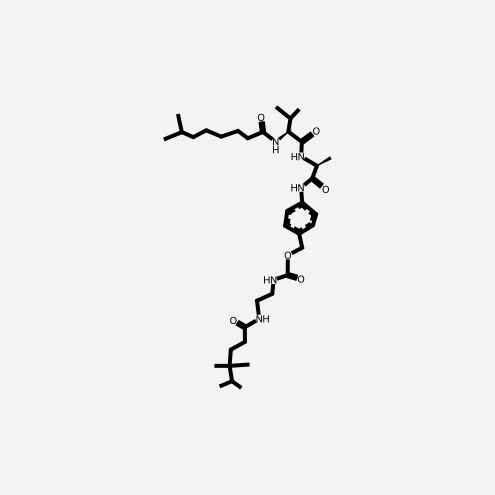 CC(C)CCCCCC(=O)N[C@H](C(=O)N[C@@H](C)C(=O)Nc1ccc(COC(=O)NCCNC(=O)CCC(C)(C)C(C)C)cc1)C(C)C